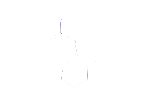 CC1CCCCN1CC([NH])=O